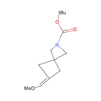 COC=C1CC2(C1)CN(C(=O)OC(C)(C)C)C2